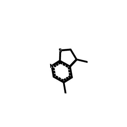 Cc1cnc2c(c1)C(C)CS2